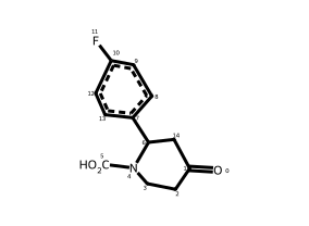 O=C1CCN(C(=O)O)C(c2ccc(F)cc2)C1